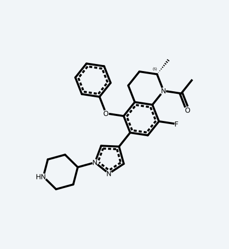 CC(=O)N1c2c(F)cc(-c3cnn(C4CCNCC4)c3)c(Oc3ccccc3)c2CC[C@@H]1C